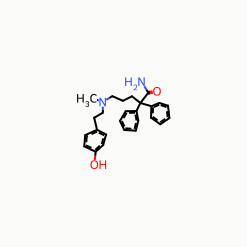 CN(CCCC(C(N)=O)(c1ccccc1)c1ccccc1)CCc1ccc(O)cc1